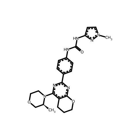 C[C@H]1COCCN1c1nc(-c2ccc(NC(=O)Nc3ccn(C)n3)cc2)nc2c1CCCO2